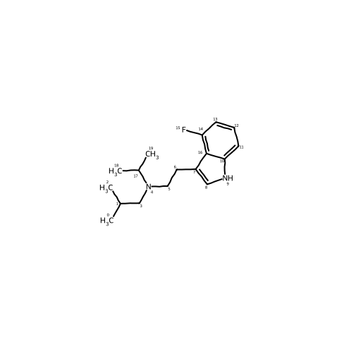 CC(C)CN(CCc1c[nH]c2cccc(F)c12)C(C)C